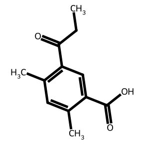 CCC(=O)c1cc(C(=O)O)c(C)cc1C